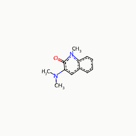 CN(C)c1cc2ccccc2n(C)c1=O